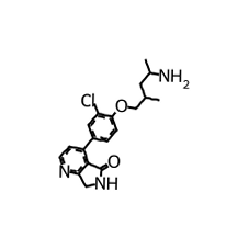 CC(N)CC(C)COc1ccc(-c2ccnc3c2C(=O)NC3)cc1Cl